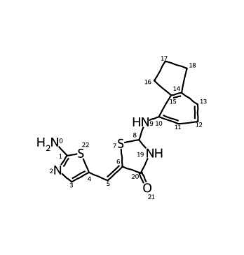 Nc1ncc(C=C2SC(Nc3cccc4c3CCC4)NC2=O)s1